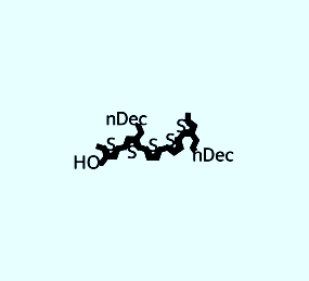 CCCCCCCCCCCCc1cc(C)sc1-c1ccc(-c2ccc(-c3sc(-c4cc(CO)c(C)s4)cc3CCCCCCCCCCCC)s2)s1